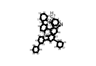 Cc1cccc(C)c1-n1c2ccccc2c2ccc(-n3c4ccc(-c5ccccc5)cc4c4cc(-c5ccccc5)ccc43)c(-c3cccc(C#N)c3C#N)c21